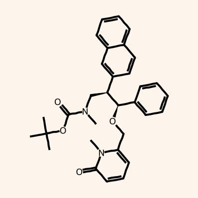 CN(C[C@@H](c1ccc2ccccc2c1)[C@H](OCc1cccc(=O)n1C)c1ccccc1)C(=O)OC(C)(C)C